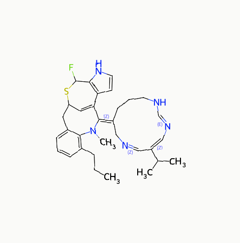 CCCc1cccc2c1N(C)/C(=C1/CCCN/C=N/C=C(C(C)C)\C=N/C1)C1=CC(C2)SC(F)c2[nH]ccc21